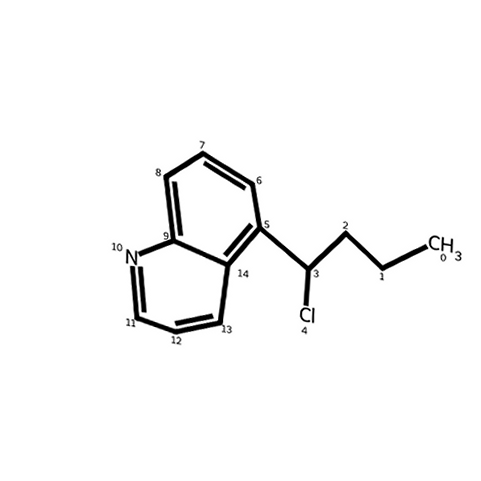 CCCC(Cl)c1cccc2ncccc12